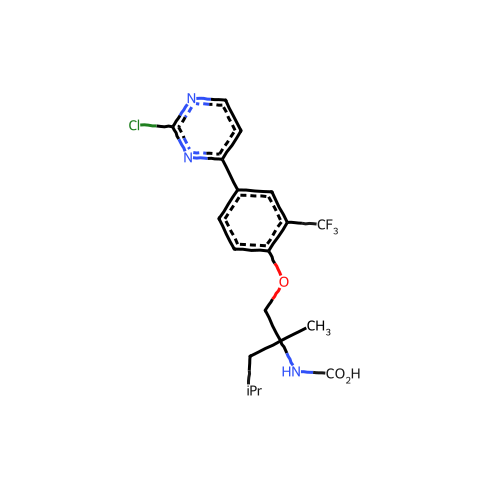 CC(C)CC(C)(COc1ccc(-c2ccnc(Cl)n2)cc1C(F)(F)F)NC(=O)O